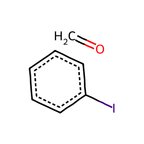 C=O.Ic1ccccc1